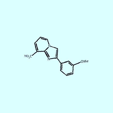 COc1cccc(-c2cn3cccc(C(=O)O)c3n2)c1